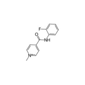 C[n+]1ccc(C(=O)Nc2ccccc2F)cc1